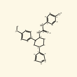 COc1ccc(C2CN(c3ccnnc3)CCC2NC(=O)Nc2ccc(Cl)cc2)cc1